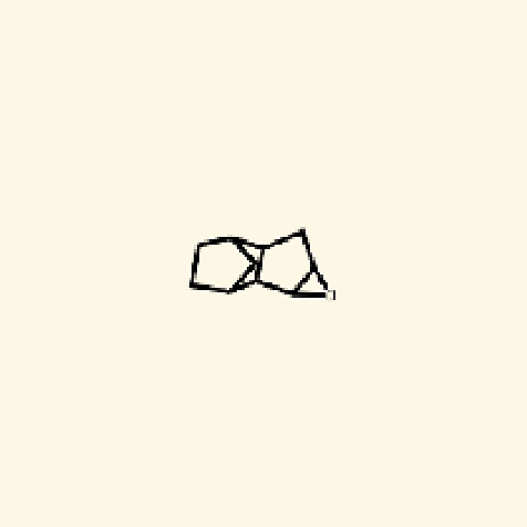 [CH]1CC2CC1C1CC3OC3C21